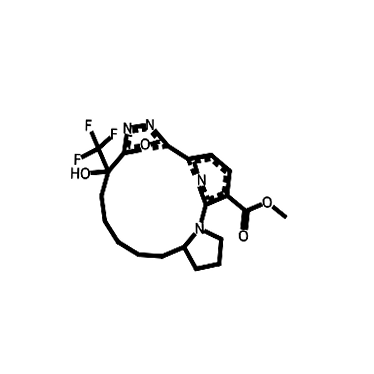 COC(=O)c1ccc2nc1N1CCCC1CCCCCC(O)(C(F)(F)F)c1nnc-2o1